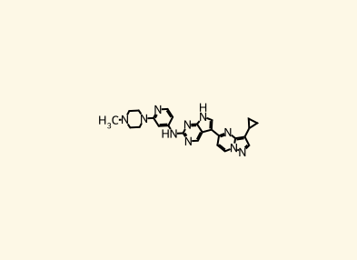 CN1CCN(c2cc(Nc3ncc4c(-c5ccn6ncc(C7CC7)c6n5)c[nH]c4n3)ccn2)CC1